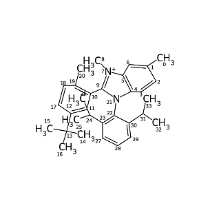 Cc1ccc2c(c1)[n+](C)c(-c1cc(C(C)(C)C)ccc1C)n2-c1c(C(C)C)cccc1C(C)C